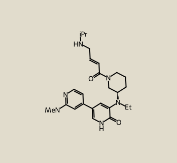 CCN(c1cc(-c2ccnc(NC)c2)c[nH]c1=O)[C@@H]1CCCN(C(=O)C=CCNC(C)C)C1